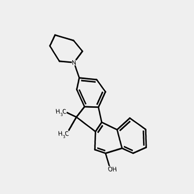 CC1(C)c2cc(N3CCCCC3)ccc2-c2c1cc(O)c1ccccc21